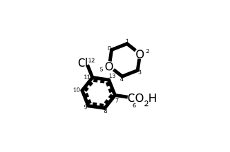 C1COCCO1.O=C(O)c1cccc(Cl)c1